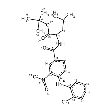 CC(C)CC(NC(=O)c1ccc(Nc2ccccc2Cl)c([N+](=O)[O-])c1)C(=O)OC(C)(C)C